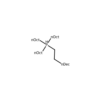 CCCCCCCCCCCC[PH](CCCCCCCC)(CCCCCCCC)CCCCCCCC